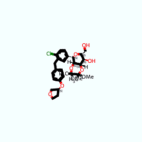 COC1(C)O[C@@H]2[C@@H](OC1(C)OC)[C@H](O)[C@@H](CO)O[C@H]2c1ccc(Cl)c(Cc2ccc(O[C@H]3CCOC3)cc2)c1